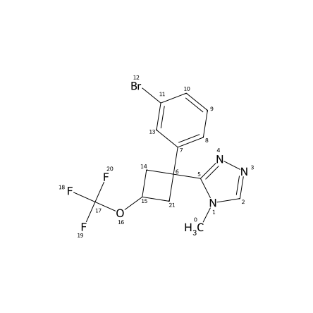 Cn1cnnc1C1(c2cccc(Br)c2)CC(OC(F)(F)F)C1